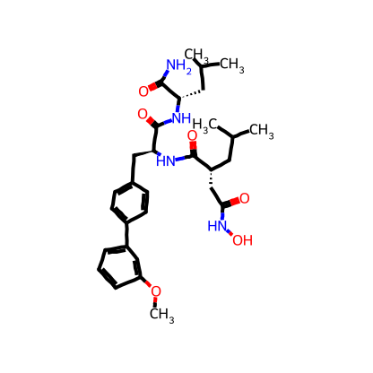 COc1cccc(-c2ccc(C[C@H](NC(=O)[C@@H](CC(=O)NO)CC(C)C)C(=O)N[C@@H](CC(C)C)C(N)=O)cc2)c1